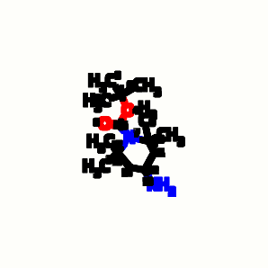 CC(C)(C)OC(=O)N1C(C)(C)CC(N)CC1(C)C